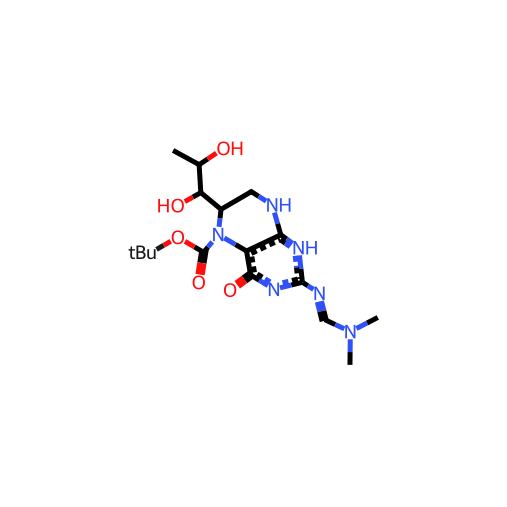 CC(O)C(O)C1CNc2[nH]c(/N=C/N(C)C)nc(=O)c2N1C(=O)OC(C)(C)C